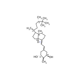 C=C1[C@H](O)CC(=C/C=C2\CCC[C@]3(C)C([C@@H](C)CC[C@H](C)C(C)(C)C)CC[C@@H]23)C[C@H]1O